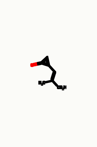 CC(=Cc1cc1=O)C(=O)O